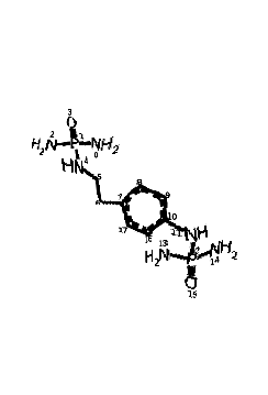 NP(N)(=O)NCCc1ccc(NP(N)(N)=O)cc1